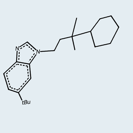 CC(C)(C)c1ccc2ncn(CCC(C)(C)C3CCCCC3)c2c1